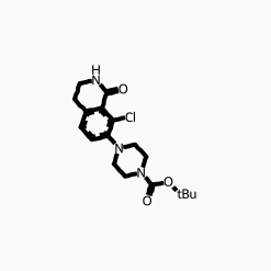 CC(C)(C)OC(=O)N1CCN(c2ccc3c(c2Cl)C(=O)NCC3)CC1